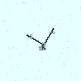 CC=CC(=O)OCCCCCCCCOP(=O)(OCCCCCCCCOC(=O)C=CC)OP(=O)(O)O